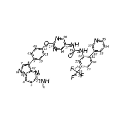 CNc1ccn2ncc(-c3ccc(Oc4ncc(NC(=O)Nc5cc(C(F)(F)F)ccc5-c5cccnc5)cn4)cc3)c2n1